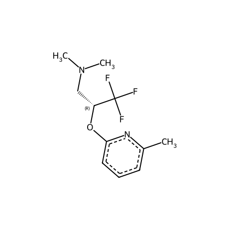 Cc1cccc(O[C@H](CN(C)C)C(F)(F)F)n1